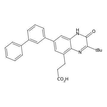 CC(C)(C)c1nc2c(CCC(=O)O)cc(-c3cccc(-c4ccccc4)c3)cc2[nH]c1=O